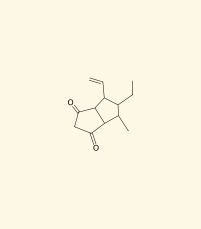 C=CC1C(CC)C(C)C2C(=O)CC(=O)C12